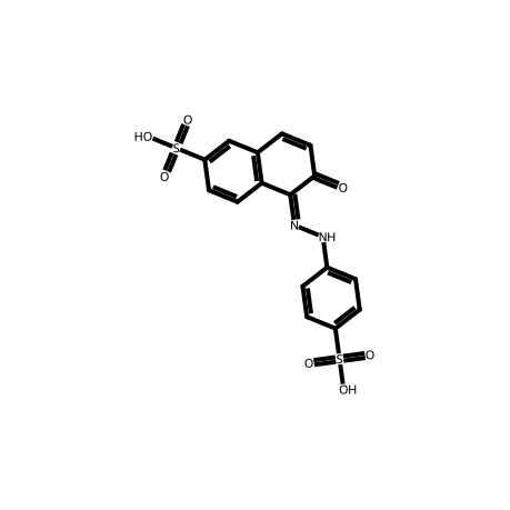 O=C1C=Cc2cc(S(=O)(=O)O)ccc2/C1=N/Nc1ccc(S(=O)(=O)O)cc1